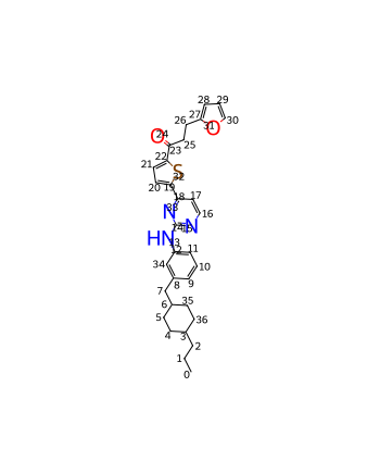 CCCC1CCC(Cc2cccc(Nc3nccc(-c4ccc(C(=O)CCc5ccco5)s4)n3)c2)CC1